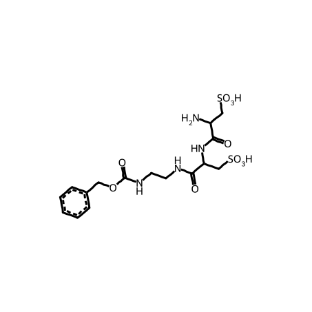 NC(CS(=O)(=O)O)C(=O)NC(CS(=O)(=O)O)C(=O)NCCNC(=O)OCc1ccccc1